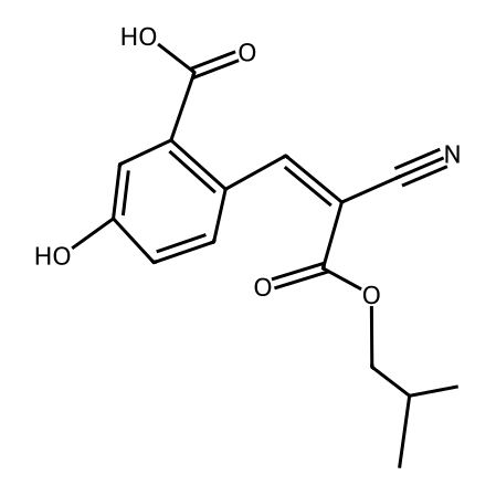 CC(C)COC(=O)C(C#N)=Cc1ccc(O)cc1C(=O)O